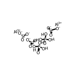 O=P(O)(O)O.O=P(O)(O)O.O=[Si]([O-])[O-].O=[Si]([O-])[O-].O=[Si]([O-])[O-].[Al+3].[Al+3]